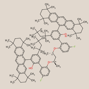 C[C@H](C[C@H](C)Oc1ccc(F)cc1-c1cc(C(C)(C)CC(C)(C)C)cc(-c2c3cc4c(cc3cc3cc5c(cc23)C(C)(C)CCC5(C)C)C(C)(C)CCC4(C)C)c1O)Oc1ccc(F)cc1-c1cc(C(C)(C)CC(C)(C)C)cc(-c2c3cc4c(cc3cc3cc5c(cc23)C(C)(C)CCC5(C)C)C(C)(C)CCC4(C)C)c1O